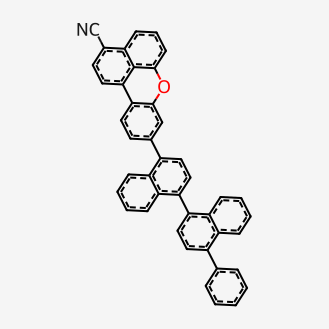 N#Cc1ccc2c3c(cccc13)Oc1cc(-c3ccc(-c4ccc(-c5ccccc5)c5ccccc45)c4ccccc34)ccc1-2